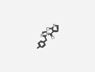 Cc1ccc(CC2=NCCN2C(=O)c2cccnc2Cl)cc1